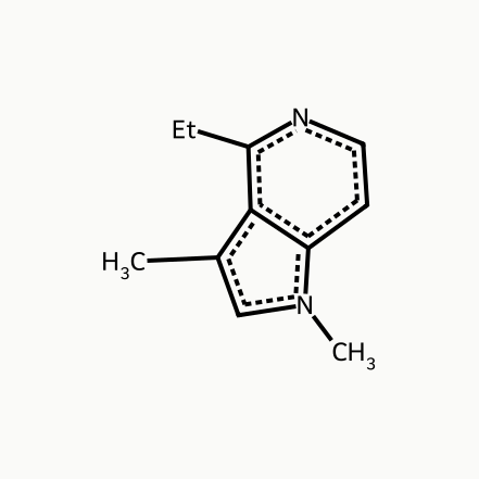 CCc1nccc2c1c(C)cn2C